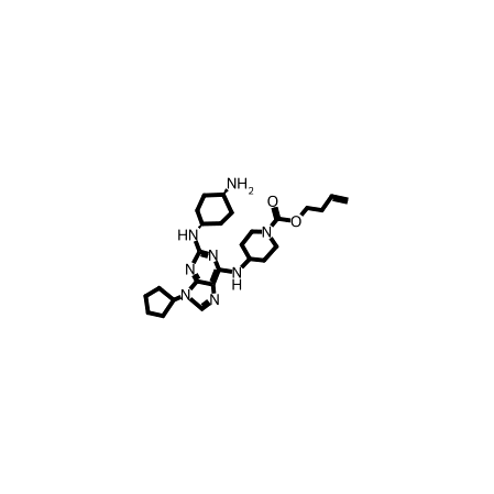 C=CCCOC(=O)N1CCC(Nc2nc(N[C@H]3CC[C@H](N)CC3)nc3c2ncn3C2CCCC2)CC1